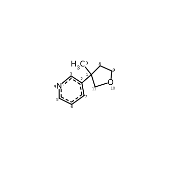 CC1(c2[c]nccc2)CCOC1